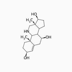 C[C@]12CC[C@H](O)C=C1C[C@H](O)C1C2NC[C@@]2(C)C1CC[C@@H]2O